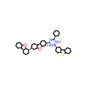 c1ccc(C2=NC(c3ccc4c(c3)oc3cc(-c5cccc6c5oc5ccccc56)ccc34)NC(c3ccc4sc5ccccc5c4c3)N2)cc1